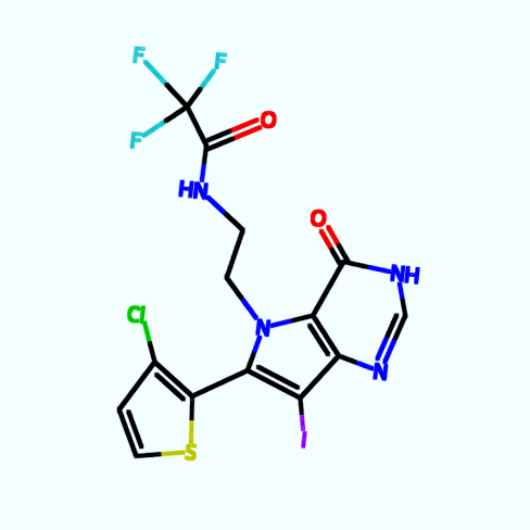 O=C(NCCn1c(-c2sccc2Cl)c(I)c2nc[nH]c(=O)c21)C(F)(F)F